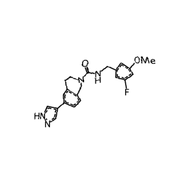 COc1cc(F)cc(CNC(=O)N2CCc3cc(-c4cn[nH]c4)ccc3C2)c1